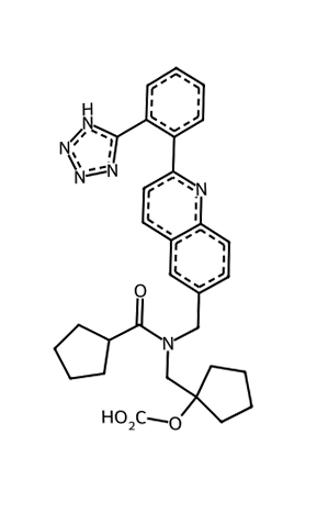 O=C(O)OC1(CN(Cc2ccc3nc(-c4ccccc4-c4nnn[nH]4)ccc3c2)C(=O)C2CCCC2)CCCC1